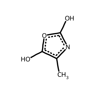 Cc1nc(O)oc1O